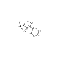 CCN(C(=O)OC(C)(C)C)C1CC=CCC1